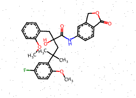 COc1ccccc1CC(O)(CC(C)(C)c1cc(F)ccc1OC)C(=O)Nc1ccc2c(c1)COC2=O